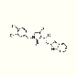 O=C1CN(Cc2ccc(Cl)c(Cl)c2)C(=O)C1C(=O)Nc1nc2ccccc2s1